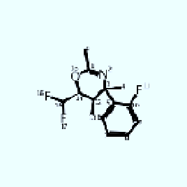 CC1=N[C@](C)(c2ccccc2F)[C@@H](C)[C@@H](C(F)F)O1